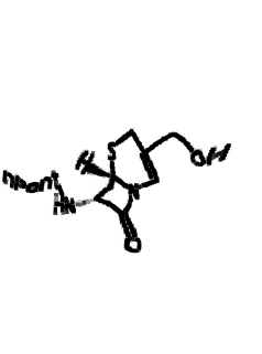 CCCCCN[C@H]1C(=O)N2C=C(CO)CS[C@@H]12